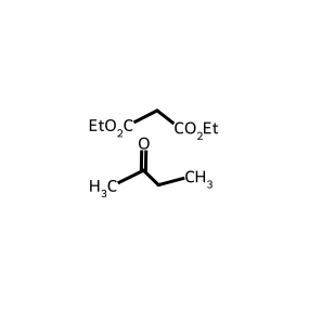 CCC(C)=O.CCOC(=O)CC(=O)OCC